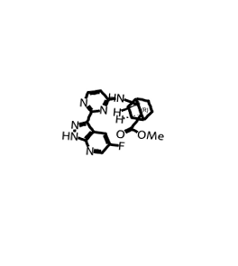 COC(=O)[C@@H]1C2CCC(CC2)[C@H]1Nc1ccnc(-c2n[nH]c3ncc(F)cc23)n1